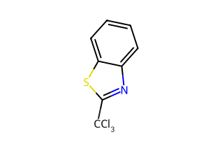 ClC(Cl)(Cl)c1nc2ccccc2s1